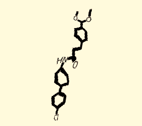 COC(OC)c1ccc(C=CC(=O)Nc2ccc(-c3ccc(Cl)cc3)cc2)cc1